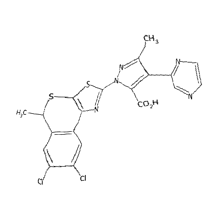 Cc1nn(-c2nc3c(s2)SC(C)c2cc(Cl)c(Cl)cc2-3)c(C(=O)O)c1-c1cnccn1